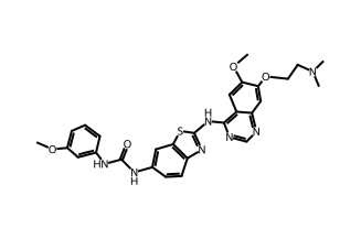 COc1cccc(NC(=O)Nc2ccc3nc(Nc4ncnc5cc(OCCN(C)C)c(OC)cc45)sc3c2)c1